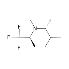 CC(C)[C@@H](C)N(C)[C@@H](C)C(F)(F)F